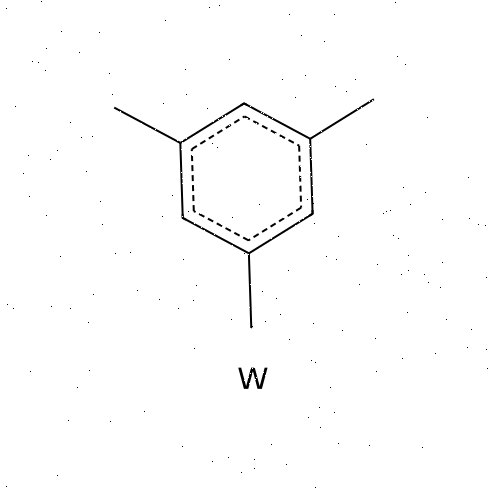 Cc1cc(C)cc(C)c1.[W]